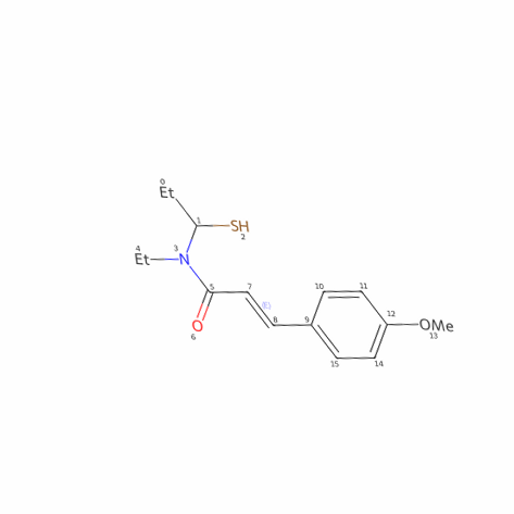 CCC(S)N(CC)C(=O)/C=C/c1ccc(OC)cc1